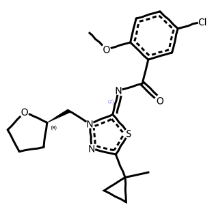 COc1ccc(Cl)cc1C(=O)/N=c1\sc(C2(C)CC2)nn1C[C@H]1CCCO1